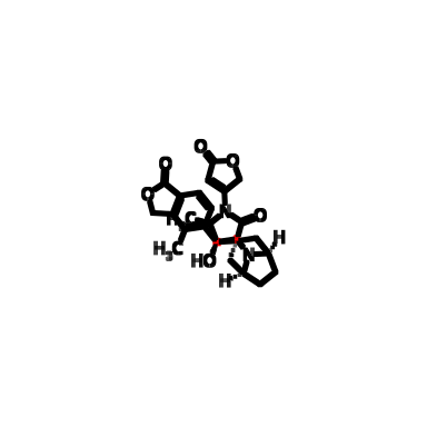 Cc1c([C@H](O)CN2[C@@H]3CC[C@H]2C[C@@]2(CC(C)N(C4=CC(=O)OC4)C2=O)C3)ccc2c1COC2=O